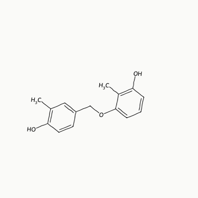 Cc1cc(COc2cccc(O)c2C)ccc1O